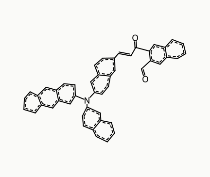 O=Cc1cc2ccccc2cc1C(=O)C=Cc1ccc2cc(N(c3ccc4ccccc4c3)c3ccc4cc5ccccc5cc4c3)ccc2c1